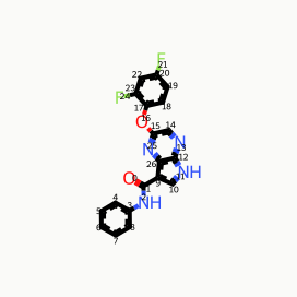 O=C(Nc1ccccc1)c1c[nH]c2ncc(Oc3ccc(F)cc3F)nc12